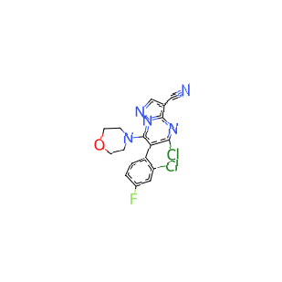 N#Cc1cnn2c(N3CCOCC3)c(-c3ccc(F)cc3Cl)c(Cl)nc12